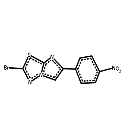 O=[N+]([O-])c1ccc(-c2cn3nc(Br)sc3n2)cc1